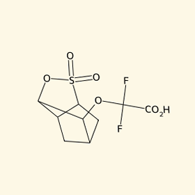 O=C(O)C(F)(F)OC1C2CC3C1OS(=O)(=O)C3C2